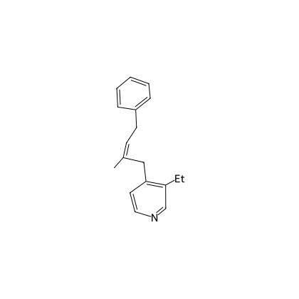 CCc1cnccc1C/C(C)=C\Cc1ccccc1